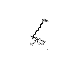 CCCCCCCCCCCCCCCCCCC(C)(F)O[Si](CCCCCCCCCC)(OC(C)C)OC(C)C